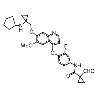 COc1cc2c(Oc3ccc(NC(=O)C4(C=O)CC4)cc3F)ccnc2cc1OCC1(NC2CCCC2)CC1